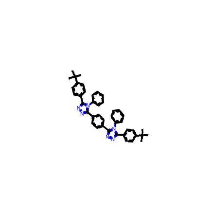 CC(C)(C)c1ccc(-c2nnc(-c3ccc(-c4nnc(-c5ccc(C(C)(C)C)cc5)n4-c4ccccc4)cc3)n2-c2ccccc2)cc1